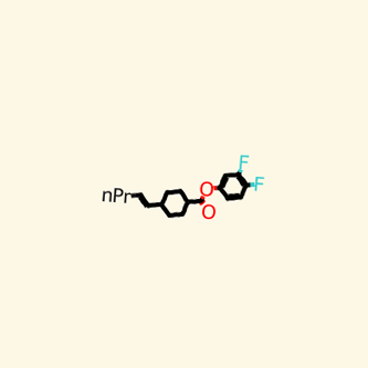 CCCC=CC1CCC(C(=O)Oc2ccc(F)c(F)c2)CC1